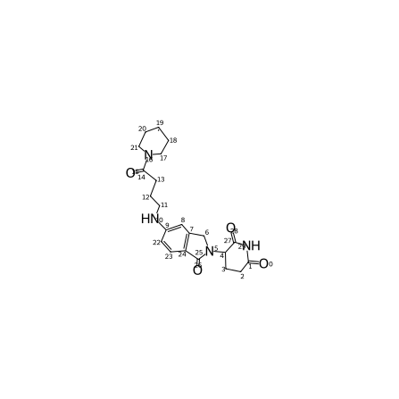 O=C1CCC(N2Cc3cc(NCCCC(=O)N4CC[CH]CC4)ccc3C2=O)C(=O)N1